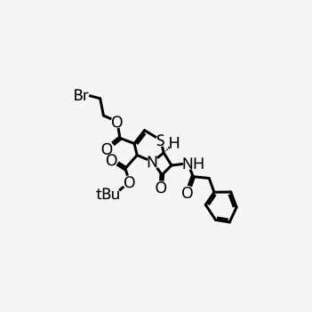 CC(C)(C)OC(=O)C1C(C(=O)OCCBr)=CS[C@H]2C(NC(=O)Cc3ccccc3)C(=O)N12